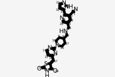 N#Cc1cc(CNCC2CCN(c3nccc(/C=C4\SC(=O)NC4=O)n3)CC2)cnc1-c1ccn[nH]1